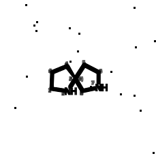 C1CN[C@]2(C1)CCNC2